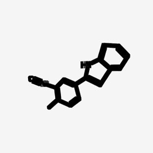 [C-]#[N+]c1cc(-c2cc3ccccc3[nH]2)ccc1C